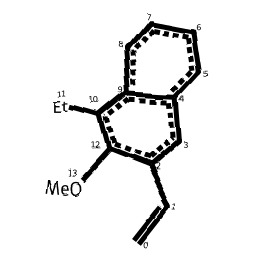 C=Cc1cc2ccccc2c(CC)c1OC